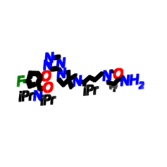 CC(C)C(CCCN(C)C[C@@H](C)C(N)=O)N1CC2(CCN(c3ncnnc3Oc3ccc(F)cc3C(=O)N(C(C)C)C(C)C)C2)C1